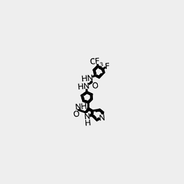 NC(=O)c1[nH]c2cnccc2c1-c1ccc(NC(=O)Nc2ccc(F)c(C(F)(F)F)c2)cc1